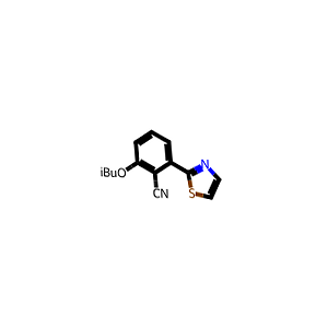 CC(C)COc1cccc(-c2nccs2)c1C#N